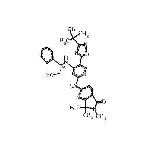 CN1C(=O)c2ccc(Nc3ncc(-c4nc(C(C)(C)O)no4)c(N[C@H](CO)c4ccccc4)n3)nc2C1(C)C